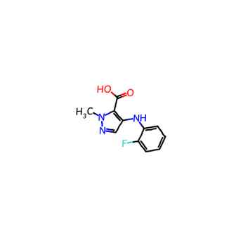 Cn1ncc(Nc2ccccc2F)c1C(=O)O